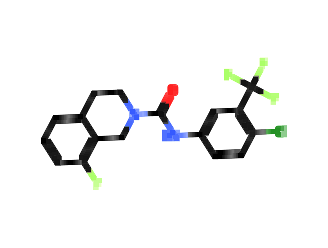 O=C(Nc1ccc(Cl)c(C(F)(F)F)c1)N1CCc2cccc(F)c2C1